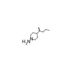 C=C(CCC)C1CCN(N)CC1